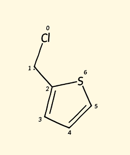 Cl[CH]c1cccs1